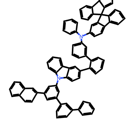 c1ccc(-c2cccc(-c3cc(-c4ccc5ccccc5c4)cc(-n4c5ccccc5c5cc(-c6ccccc6-c6cccc(N(c7ccccc7)c7ccc8c(c7)C7(c9ccccc9-c9ccccc97)c7ccccc7-8)c6)ccc54)c3)c2)cc1